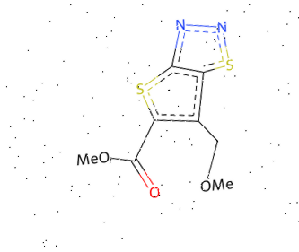 COCc1c(C(=O)OC)sc2nnsc12